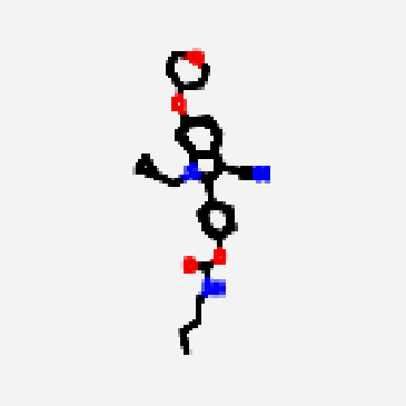 CCCCNC(=O)Oc1ccc(-c2c(C#N)c3ccc(OC4CCOCC4)cc3n2CC2CC2)cc1